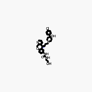 O=C(NCCO)Nc1ccc2c(c1)/C(=C/CCN1CCC(O)(c3ccc(Cl)cc3)CC1)c1cccnc1CO2